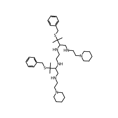 CC(C)(SCc1ccccc1)C(CNCCN1CCCCC1)NCCNC(CNCCN1CCCCC1)C(C)(C)SCc1ccccc1